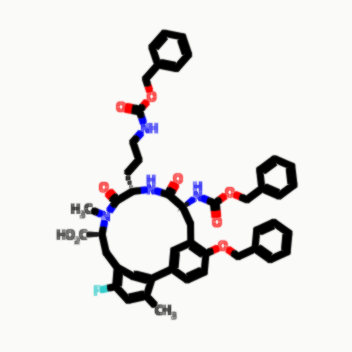 Cc1cc(F)c2cc1-c1ccc(OCc3ccccc3)c(c1)C[C@H](NC(=O)OCc1ccccc1)C(=O)N[C@@H](CCCNC(=O)OCc1ccccc1)C(=O)N(C)[C@H](C(=O)O)C2